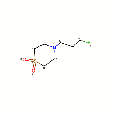 O=S1(=O)CCN(CCCBr)CC1